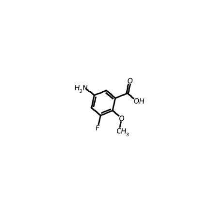 COc1c(F)cc(N)cc1C(=O)O